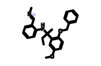 CCC(C)(Pc1ccccc1/C=N/C)c1cc(OC)ccc1OCc1ccccc1